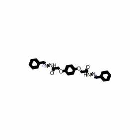 O=C(COc1ccc(OCC(=O)N/N=C/c2ccccc2)cc1)N/N=C/c1ccccc1